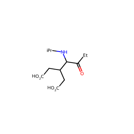 CCC(=O)C(NC(C)C)C(CC(=O)O)CC(=O)O